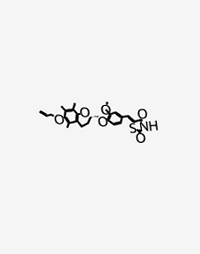 C=CCOc1c(C)c(C)c2c(c1C)CC[C@@H](COc1ccc(/C=C3\SC(=O)NC3=O)cc1OC)O2